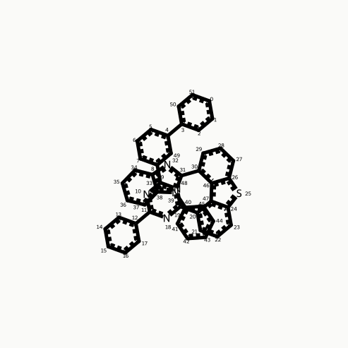 c1ccc(-c2cccc(-c3nc(-c4ccccc4)nc(-c4cccc5sc6cccc(-c7nc8ccccc8n7-c7ccccc7)c6c45)n3)c2)cc1